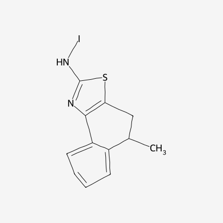 CC1Cc2sc(NI)nc2-c2ccccc21